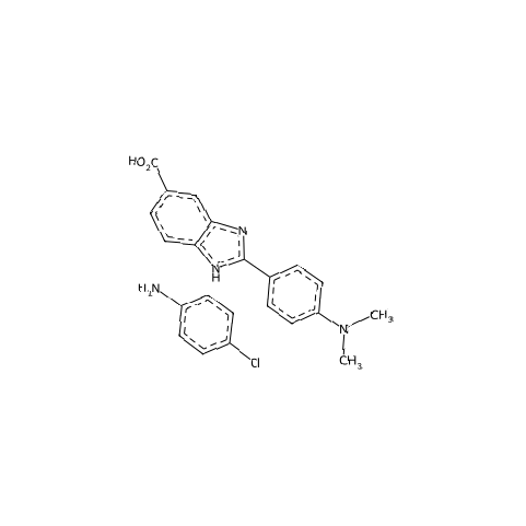 CN(C)c1ccc(-c2nc3cc(C(=O)O)ccc3[nH]2)cc1.Nc1ccc(Cl)cc1